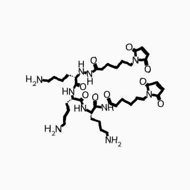 NCCCC[C@H](NNC(=O)CCCCCN1C(=O)C=CC1=O)C(=O)N[C@@H](CCCCN)C(=O)N[C@@H](CCCCN)C(=O)NC(=O)CCCCCN1C(=O)C=CC1=O